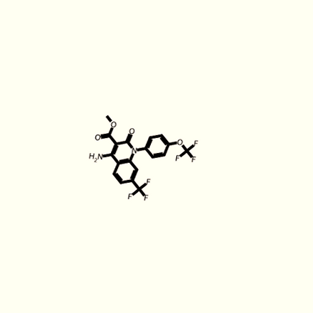 COC(=O)c1c(N)c2ccc(C(F)(F)F)cc2n(-c2ccc(OC(F)(F)F)cc2)c1=O